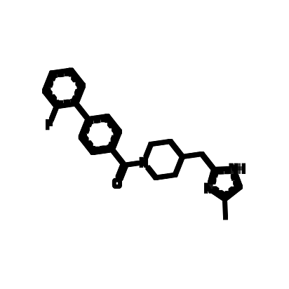 Cc1c[nH]c(CC2CCN(C(=O)c3ccc(-c4ccccc4F)cc3)CC2)n1